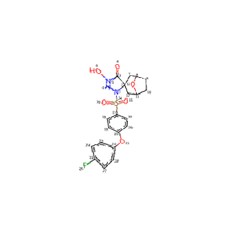 CN(C1(C(=O)NO)CC2CCC(C1)O2)S(=O)(=O)c1ccc(Oc2ccc(F)cc2)cc1